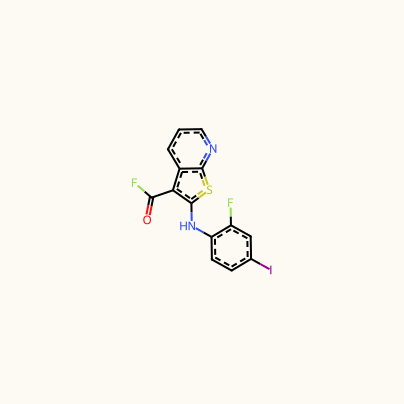 O=C(F)c1c(Nc2ccc(I)cc2F)sc2ncccc12